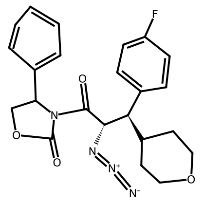 [N-]=[N+]=N[C@H](C(=O)N1C(=O)OCC1c1ccccc1)[C@@H](c1ccc(F)cc1)C1CCOCC1